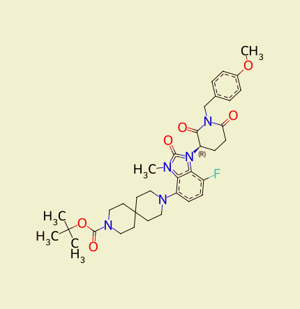 COc1ccc(CN2C(=O)CC[C@@H](n3c(=O)n(C)c4c(N5CCC6(CCN(C(=O)OC(C)(C)C)CC6)CC5)ccc(F)c43)C2=O)cc1